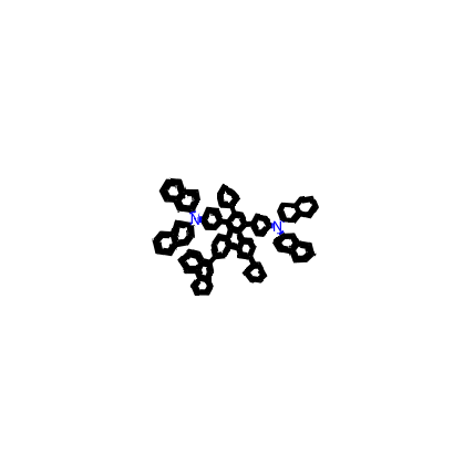 C1=CC2=CC(N(c3ccc(-c4cc(-c5ccccc5)c(-c5ccc(N(c6ccc7ccccc7c6)c6ccc7ccccc7c6)cc5)c5c6ccc(-c7cc8ccccc8c8ccccc78)cc6c6cc(-c7ccccc7)ccc6c45)cc3)c3ccc4ccccc4c3)=CCC2C=C1